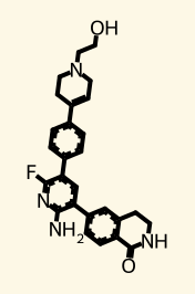 Nc1nc(F)c(-c2ccc(C3=CCN(CCO)CC3)cc2)cc1-c1ccc2c(c1)CCNC2=O